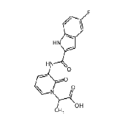 CC(C(=O)O)n1cccc(NC(=O)c2cc3cc(F)ccc3[nH]2)c1=O